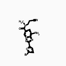 CN(CCC#N)C(=O)c1cc(N)c2nc(-c3ccc(Br)o3)nn2c1